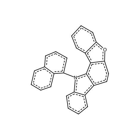 c1ccc2c(-n3c4ccccc4c4ccc5oc6ccccc6c5c43)cccc2c1